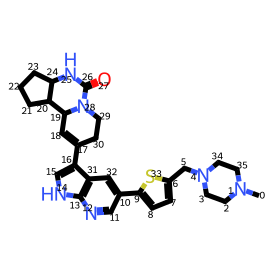 CN1CCN(Cc2ccc(-c3cnc4[nH]cc(C5=CC6C7CCCC7NC(=O)N6CC5)c4c3)s2)CC1